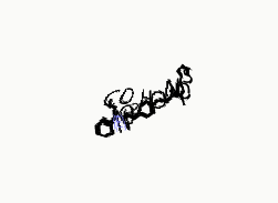 Cc1oc(-c2cccs2)nc1COc1ccc(CO/N=C(\CCC(=O)O)c2ccccc2)cc1